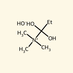 CCC(O)(O)[N+](C)(C)C.[OH-]